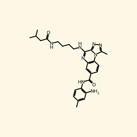 Cc1ccc(NC(=O)c2ccc3c(c2)nc(NCCCCNC(=O)CC(C)C)c2nnc(C)n23)c(N)c1